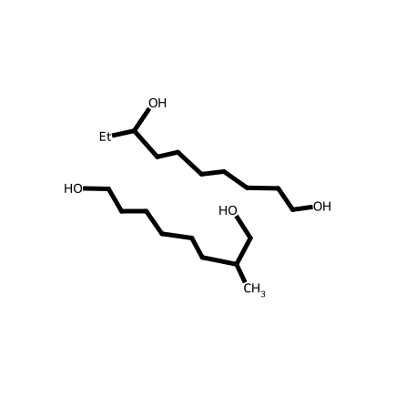 CC(CO)CCCCCCO.CCC(O)CCCCCCCO